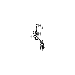 CCCCCC(=O)Nc1c[nH]c2ccc(CCOc3ccc(C(F)(F)F)cc3)cc12